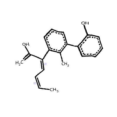 C=C(O)/C(=C\C=C/C)c1cccc(-c2ccccc2O)c1C